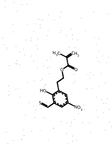 C=C(C)C(=O)OCCc1cc([N+](=O)[O-])cc(C=S)c1O